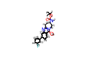 CN(C(=O)OC(C)(C)C)C1CCc2nc3cc(-c4cccc(F)c4)ccc3c(=O)n2CC1